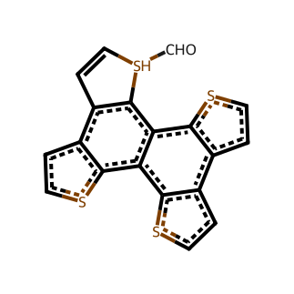 O=C[SH]1C=Cc2c1c1c3sccc3c3ccsc3c1c1sccc21